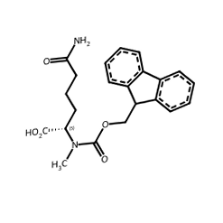 CN(C(=O)OCC1c2ccccc2-c2ccccc21)[C@@H](CCCC(N)=O)C(=O)O